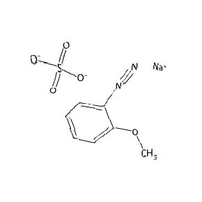 COc1ccccc1[N+]#N.O=S(=O)([O-])[O-].[Na+]